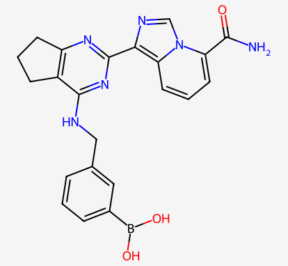 NC(=O)c1cccc2c(-c3nc4c(c(NCc5cccc(B(O)O)c5)n3)CCC4)ncn12